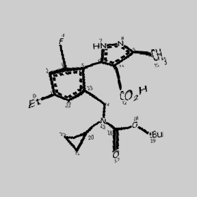 CCc1cc(F)c(-c2[nH]nc(C)c2C(=O)O)c(CN(C(=O)OC(C)(C)C)C2CC2)c1